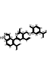 C=Cc1cc(-c2c(C(C)C)ccc3[nH]ncc23)nc(C)c1COc1cc(C(C)C)ccc1C